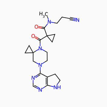 CN(CCC#N)C(=O)C1(C(=O)N2CCN(c3ncnc4c3CCN4)CC23CC3)CC1